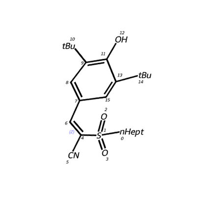 CCCCCCCS(=O)(=O)/C(C#N)=C\c1cc(C(C)(C)C)c(O)c(C(C)(C)C)c1